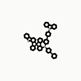 c1ccc(-c2ccc(N(c3ccc(-c4ccc(-n5c6ccccc6c6ccccc65)cc4)cc3)c3cccc4c3-c3ccccc3C43c4ccccc4-c4c3ccc3c4sc4ccccc43)cc2)cc1